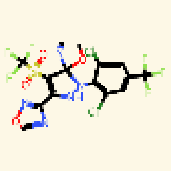 C=NC1(OC)C(S(=O)(=O)C(F)(F)F)=C(c2ncon2)NN1c1c(Cl)cc(C(F)(F)F)cc1Cl